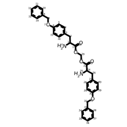 NC(Cc1ccc(OCc2ccccc2)cc1)C(=O)OCOC(=O)C(N)Cc1ccc(OCc2ccccc2)cc1